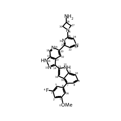 COc1cc(F)cc(-c2cccc3[nH]c(-c4n[nH]c5cnc(-c6cncc(N7CC(N)C7)n6)cc45)cc23)c1